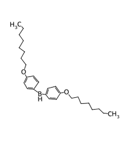 CCCCCCCCOc1ccc(Bc2ccc(OCCCCCCCC)cc2)cc1